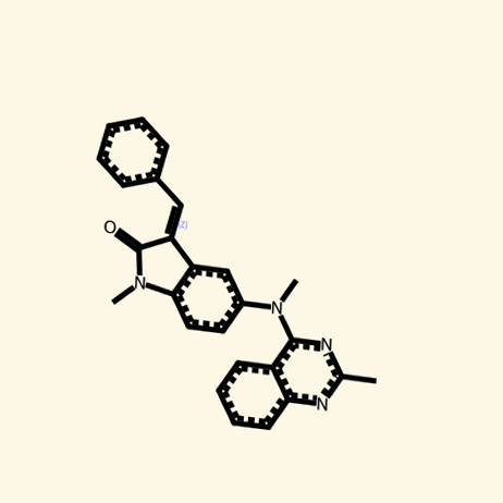 Cc1nc(N(C)c2ccc3c(c2)/C(=C/c2ccccc2)C(=O)N3C)c2ccccc2n1